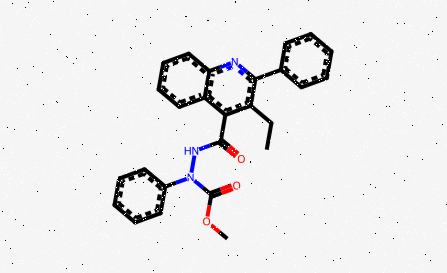 CCc1c(-c2ccccc2)nc2ccccc2c1C(=O)NN(C(=O)OC)c1ccccc1